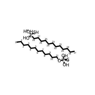 CCCCCCCCCCCCOP(O)(O)=S.CCCCCCCCCCCC[PH](O)(O)S